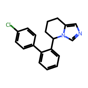 Clc1ccc(-c2ccccc2C2CCCc3cncn32)cc1